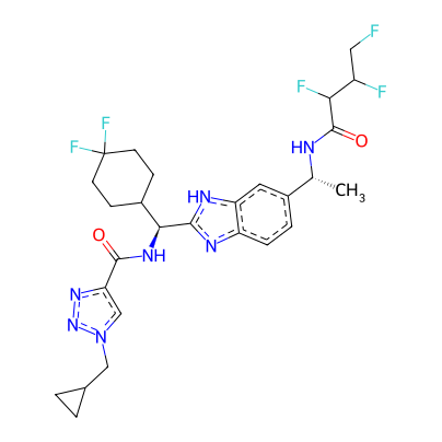 C[C@@H](NC(=O)C(F)C(F)CF)c1ccc2nc([C@@H](NC(=O)c3cn(CC4CC4)nn3)C3CCC(F)(F)CC3)[nH]c2c1